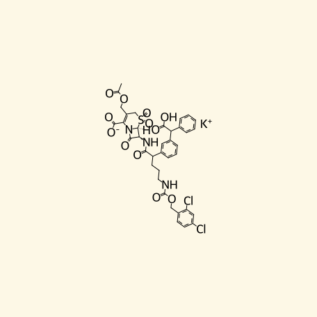 CC(=O)OCC1=C(C(=O)[O-])N2C(=O)[C@H](NC(=O)C(CCCNC(=O)OCc3ccc(Cl)cc3Cl)c3cccc(C(C(=O)O)c4ccccc4)c3)[C@@H]2S(=O)(=O)C1.[K+]